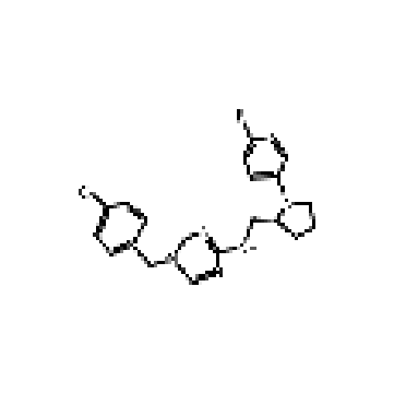 Fc1ccc(N2CCC[C@H]2CNC2=NCN(Cc3ccc(Cl)cc3)C=N2)cc1